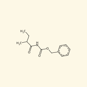 CCC(C)C(=O)NC(=O)OCc1ccccc1